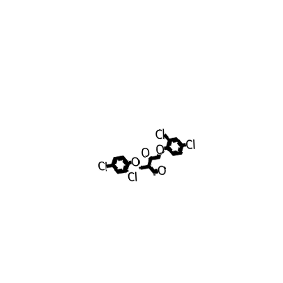 O=[C]C(COc1ccc(Cl)cc1Cl)C(=O)COc1ccc(Cl)cc1Cl